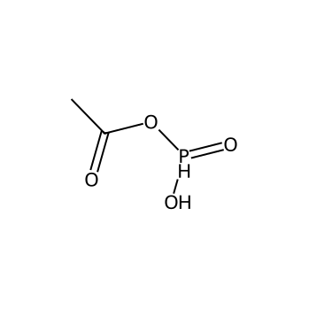 CC(=O)O[PH](=O)O